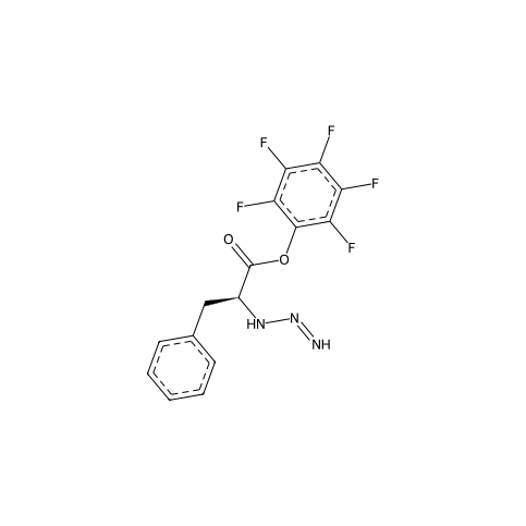 N=NN[C@@H](Cc1ccccc1)C(=O)Oc1c(F)c(F)c(F)c(F)c1F